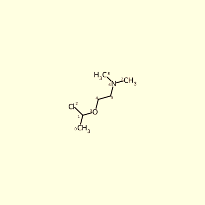 CC(Cl)OCCN(C)C